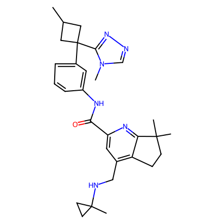 CC1CC(c2cccc(NC(=O)c3cc(CNC4(C)CC4)c4c(n3)C(C)(C)CC4)c2)(c2nncn2C)C1